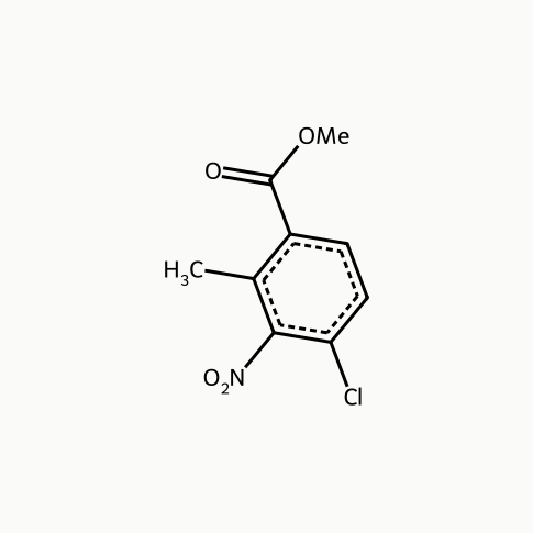 COC(=O)c1ccc(Cl)c([N+](=O)[O-])c1C